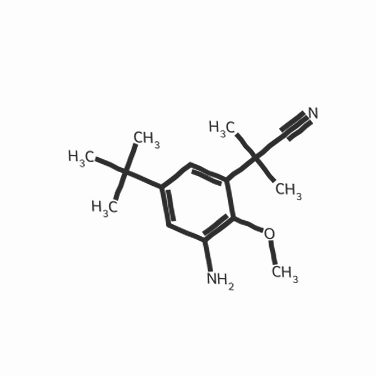 COc1c(N)cc(C(C)(C)C)cc1C(C)(C)C#N